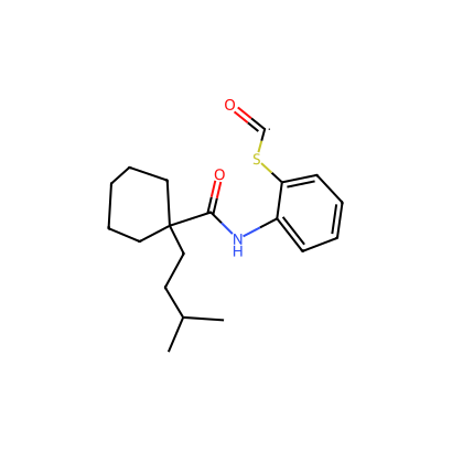 CC(C)CCC1(C(=O)Nc2ccccc2S[C]=O)CCCCC1